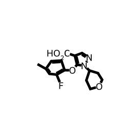 Cc1ccc(Oc2c(C(=O)O)cnn2C2CCOCC2)c(F)c1